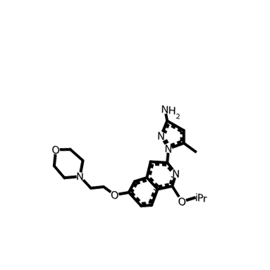 Cc1cc(N)nn1-c1cc2cc(OCCN3CCOCC3)ccc2c(OC(C)C)n1